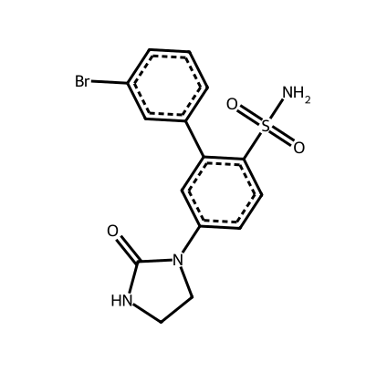 NS(=O)(=O)c1ccc(N2CCNC2=O)cc1-c1cccc(Br)c1